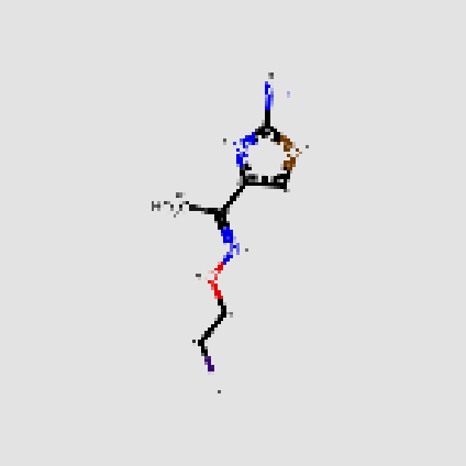 Nc1nc(C(=NOCCI)C(=O)O)cs1